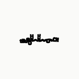 CC(C)(C)OC(=O)NCCCNCCCCOCCC#N